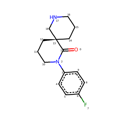 O=C1N(c2ccc(F)cc2)CCC[C@@]12CCCNC2